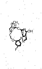 CO[C@@H]1CN2CCOc3cc(F)ccc3-n3ncc4c(O)nc(nc43)C[C@H]1C2